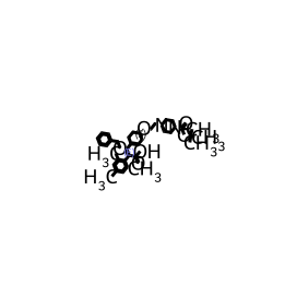 Cc1cc(C)c(/C(C(=O)O)=C(\OCc2ccccc2)C2=CC[C@@H](OCCN3CCN(C(=O)OC(C)(C)C)CC3)CC2)c(C)c1